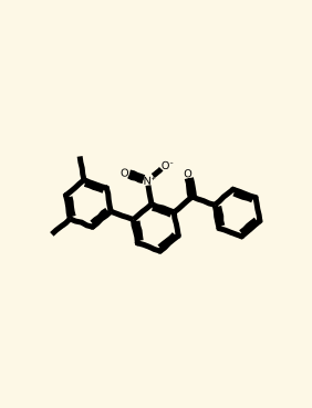 Cc1cc(C)cc(-c2cccc(C(=O)c3ccccc3)c2[N+](=O)[O-])c1